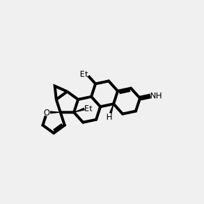 CCC1CC2=CC(=N)CC[C@@H]2C2CC[C@@]3(CC)C(C4CC4[C@@]34C=CCO4)C12